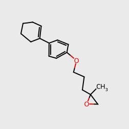 CC1(CCCOc2ccc(C3=CCCCC3)cc2)CO1